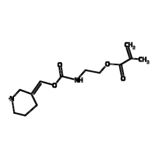 C=C(C)C(=O)OCCNC(=O)OC=C1CCC[N]C1